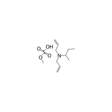 C=CCN(CC=C)C(C)CC.COS(=O)(=O)O